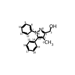 Cc1c(CO)nn(-c2ccccc2)c1-c1ccccc1